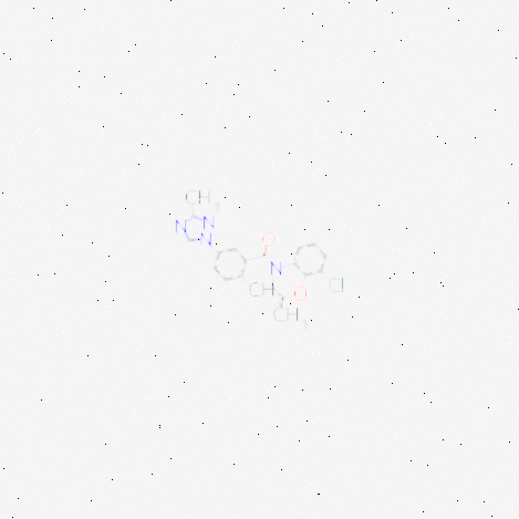 Cc1ncn(-c2ccc(C)c(C(=O)N3C[C@H](C)Oc4c(Cl)cccc43)c2)n1